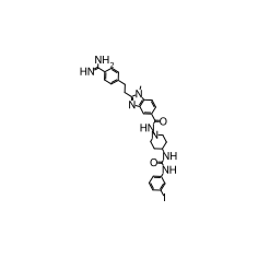 Cn1c(CCc2ccc(C(=N)N)cc2)nc2cc(C(=O)NN3CCC(NC(=O)Nc4cccc(I)c4)CC3)ccc21